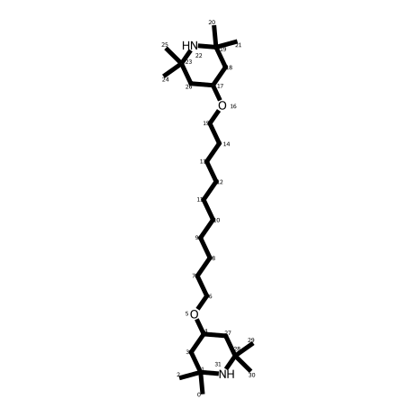 CC1(C)CC(OCCCCCCCCCCOC2CC(C)(C)NC(C)(C)C2)CC(C)(C)N1